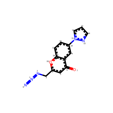 [N-]=[N+]=NCc1cc(=O)c2cc(-n3cccn3)ccc2o1